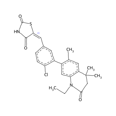 CCN1C(=O)CC(C)(C)c2cc(C)c(-c3cc(/C=C4/SC(=O)NC4=O)ccc3Cl)cc21